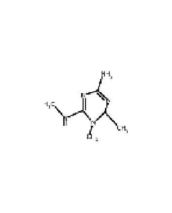 CNC1=NC(N)=NC(C)N1C